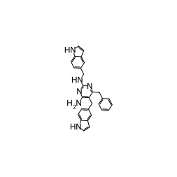 Nc1nc(NCc2ccc3[nH]ccc3c2)nc(Cc2ccccc2)c1Cc1ccc2[nH]ccc2c1